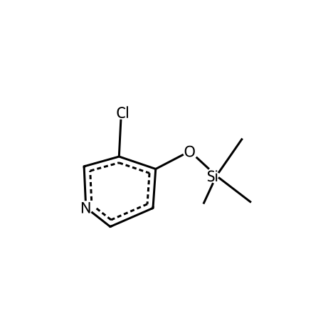 C[Si](C)(C)Oc1ccncc1Cl